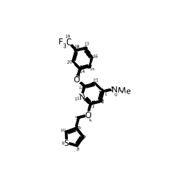 CNc1cc(OCc2ccsc2)nc(Oc2cccc(C(F)(F)F)c2)c1